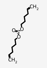 C=CCCCCOS(=O)OCCCCC=C